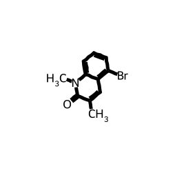 Cc1cc2c(Br)cccc2n(C)c1=O